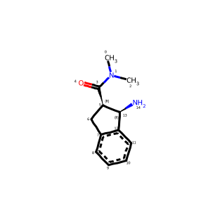 CN(C)C(=O)[C@@H]1Cc2ccccc2[C@@H]1N